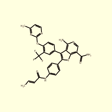 CC=CC(=O)Nc1ccc(-c2sc3c(C(N)=O)cnc(N)c3c2-c2ccc(Oc3nccc(C)n3)c(C(F)(F)F)c2)cc1